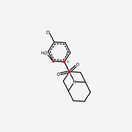 C[C@@H](CO)N1CC2CCCC(C1)N2S(=O)(=O)c1ccc(Cl)cc1